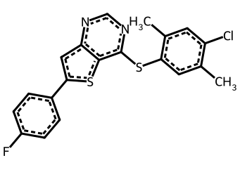 Cc1cc(Sc2ncnc3cc(-c4ccc(F)cc4)sc23)c(C)cc1Cl